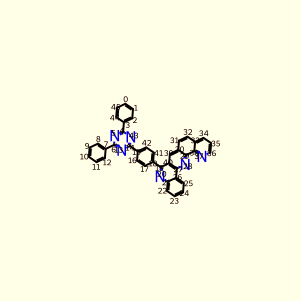 c1ccc(-c2nc(-c3ccccc3)nc(-c3ccc(-c4nc5ccccc5c5nc6c(ccc7cccnc76)cc45)cc3)n2)cc1